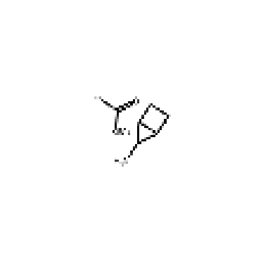 CCC(=O)OC.NC1C2CCC12